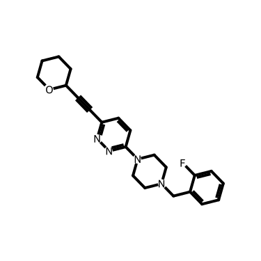 Fc1ccccc1CN1CCN(c2ccc(C#CC3CCCCO3)nn2)CC1